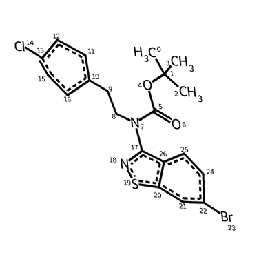 CC(C)(C)OC(=O)N(CCc1ccc(Cl)cc1)c1nsc2cc(Br)ccc12